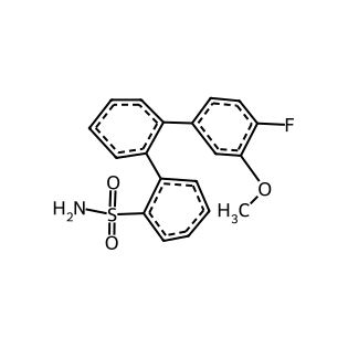 COc1cc(-c2ccccc2-c2ccccc2S(N)(=O)=O)ccc1F